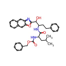 CC(C)CC(NC(=O)OCc1ccccc1)C(=O)NC(CCc1ccccc1)C(O)c1nc2cc3ccccc3cc2o1